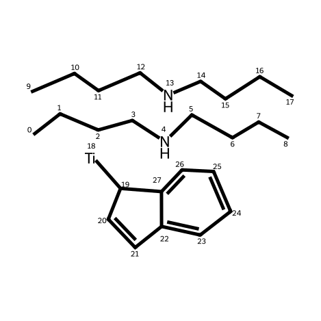 CCCCNCCCC.CCCCNCCCC.[Ti][CH]1C=Cc2ccccc21